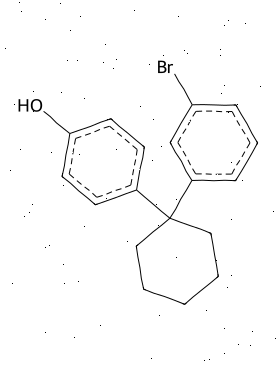 Oc1ccc(C2(c3cccc(Br)c3)CCCCC2)cc1